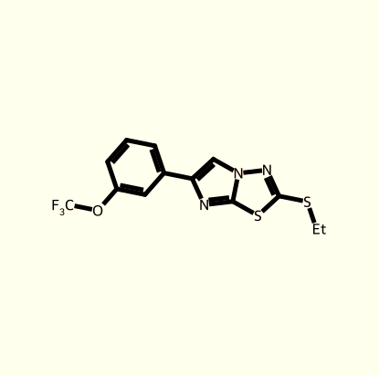 CCSc1nn2cc(-c3cccc(OC(F)(F)F)c3)nc2s1